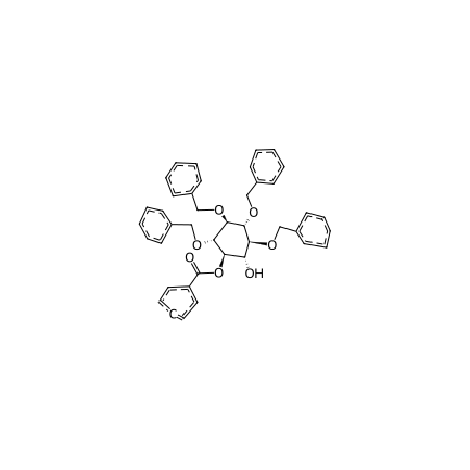 O=C(O[C@@H]1[C@@H](O)[C@H](OCc2ccccc2)[C@@H](OCc2ccccc2)[C@H](OCc2ccccc2)[C@H]1OCc1ccccc1)c1ccccc1